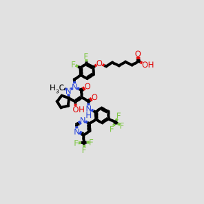 CN1N(Cc2ccc(OCCCCCC(=O)O)c(F)c2F)C(=O)C(C(=O)Nc2ccc(C(F)(F)F)cc2-c2cc(C(F)(F)F)ncn2)=C(O)C12CCCC2